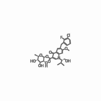 COc1cc2c(cc1Cc1cccc(Cl)c1F)c(=O)c(C(=O)O[C@@H]1O[C@H](C)[C@@H](O)[C@H](O)[C@H]1O)cn2[C@H](CO)C(C)C